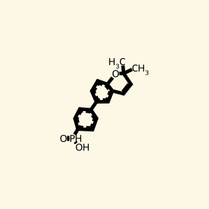 CC1(C)C=Cc2cc(-c3ccc([PH](=O)O)cc3)ccc2O1